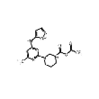 Cc1cc(Nc2ccn[nH]2)nc(N2CCC[C@H](C(=O)OC(=O)C(F)(F)F)C2)n1